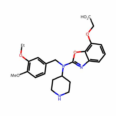 CCOc1cc(CN(c2nc3cccc(OCC(=O)O)c3o2)C2CCNCC2)ccc1OC